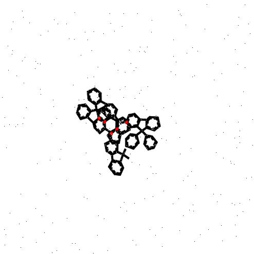 CC1(C)c2ccccc2-c2ccc(N(c3ccc4c(c3)C3(c5ccccc5-c5ccc(N(c6ccccc6)c6ccc7c(c6)C(c6ccccc6)(c6ccccc6)c6ccccc6-7)cc53)c3ccccc3-4)c3ccccc3-c3ccccc3)cc21